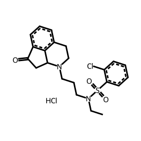 CCN(CCCN1CCc2cccc3c2C1CC3=O)S(=O)(=O)c1ccccc1Cl.Cl